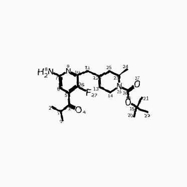 CC(C)C(=O)c1cc(N)nc(CC2CCN(C(=O)OC(C)(C)C)[C@H](C)C2)c1F